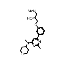 CNCC(O)COc1cccc(-c2cc(N(C)C3CCOCC3)nc(C)n2)c1